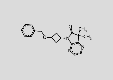 CC1(C)C(=O)N([C@H]2C[C@H](OCc3ccccc3)C2)c2nccnc21